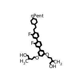 C=C(CO)CCOc1cc(OCCC(=C)CO)cc(-c2ccc(-c3ccc(CCC4CCC(CCCCC)CC4)c(F)c3)c(F)c2)c1